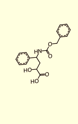 O=C(NC(CC(O)C(=O)O)c1ccccc1)OCc1ccccc1